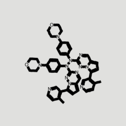 Cc1ccncc1-c1ccc2cnc(N(c3ccc(N4CCOCC4)cc3)N(c3ccc(N4CCOCC4)cc3)c3ncc4ccc(-c5cnccc5C)n4n3)nn12